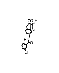 NC(Cc1ccc(CNC(=O)c2cccc(Cl)c2)cc1)C(=O)O